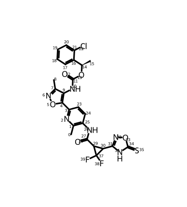 Cc1nc(-c2onc(C)c2NC(=O)O[C@H](C)c2ccccc2Cl)ccc1NC(=O)C1C(c2noc(=S)[nH]2)C1(F)F